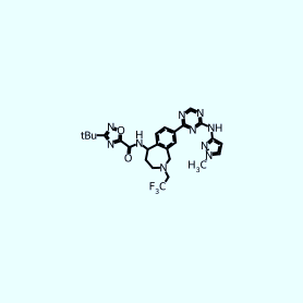 Cn1ccc(Nc2ncnc(-c3ccc4c(c3)CN(CC(F)(F)F)CCC4NC(=O)c3nc(C(C)(C)C)no3)n2)n1